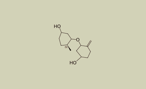 C=C1CCC(O)CC1OC1CC(O)CC[C@@H]1C